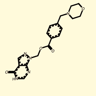 O=C(OCn1ncc2c(=O)[nH]cnc21)c1ccc(CN2CCOCC2)cc1